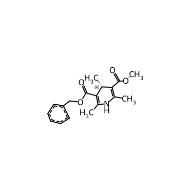 COC(=O)C1=C(C)NC(C)=C(C(=O)OCc2ccccc2)[C@@H]1C